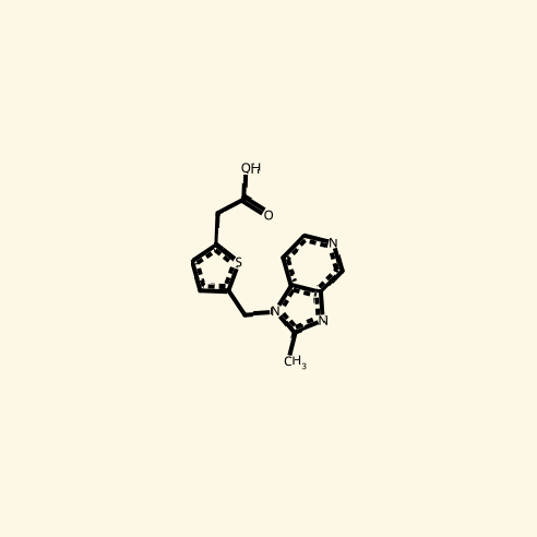 Cc1nc2cnccc2n1Cc1ccc(CC(=O)O)s1